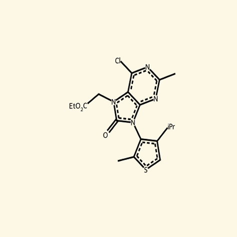 CCOC(=O)Cn1c(=O)n(-c2c(C(C)C)csc2C)c2nc(C)nc(Cl)c21